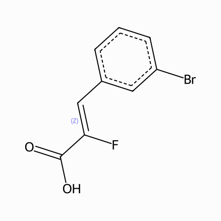 O=C(O)/C(F)=C/c1cccc(Br)c1